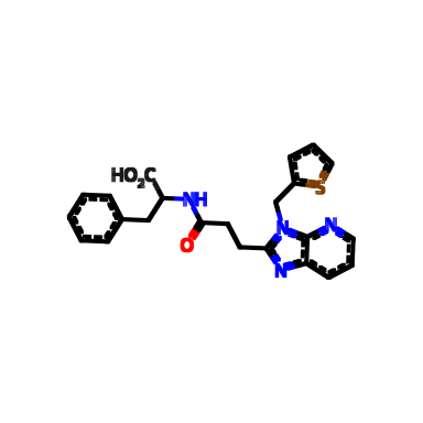 O=C(CCc1nc2cccnc2n1Cc1cccs1)NC(Cc1ccccc1)C(=O)O